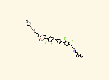 CC/C=C/CCc1ccc(-c2ccc(-c3ccc(C4CCC(CCCCCCCC)OC4)c(F)c3F)cc2)c(F)c1F